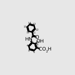 O=C(Nc1cccc(C(=O)O)c1O)c1ccccc1